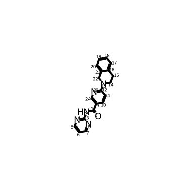 O=C(Nc1ncccn1)c1ccc(N2CCc3ccccc3C2)nc1